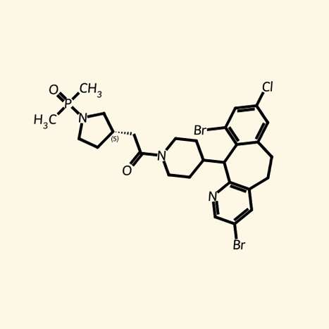 CP(C)(=O)N1CC[C@@H](CC(=O)N2CCC(C3c4ncc(Br)cc4CCc4cc(Cl)cc(Br)c43)CC2)C1